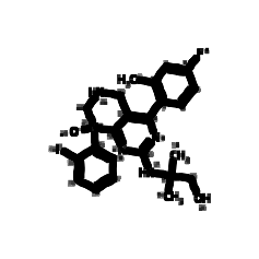 Cc1cc(F)ccc1-c1nc(NC(C)(C)CO)nc2c1CNC[N+]2([O-])c1ccccc1F